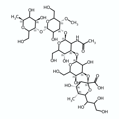 CO[C@H]1C(CO)O[C@@H](O[C@@H]2C(CO)O[C@@H](C)C(O)[C@H]2O)C(O)[C@H]1O[C@@H]1OC(CO)[C@@H](O)[C@H](O[C@@H]2OC(CO)[C@H](O)[C@H](O[C@]3(C(=O)O)C[C@@H](O)[C@@H](C)C(C(O)C(O)CO)O3)C2O)C1NC(C)=O